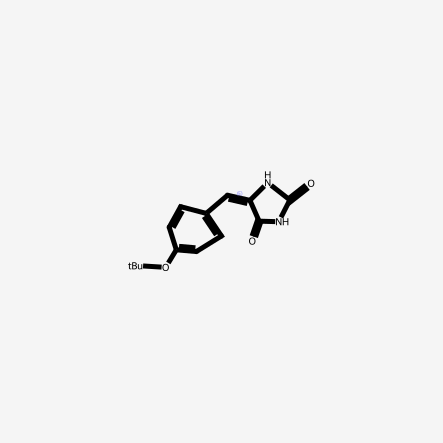 CC(C)(C)Oc1ccc(/C=C2/NC(=O)NC2=O)cc1